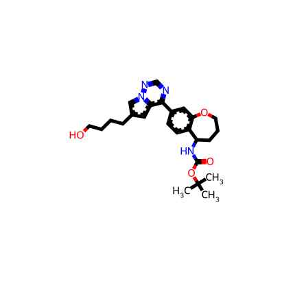 CC(C)(C)OC(=O)NC1CCCOc2cc(-c3ncnn4cc(CCCCO)cc34)ccc21